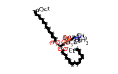 CC/C=C\C/C=C\C/C=C\C/C=C\CCCCC(=O)O[C@H](COC(=O)CCCCCCCCCCC/C=C\CCCCCCCC)COP(=O)([O-])OCC[N+](C)(C)C